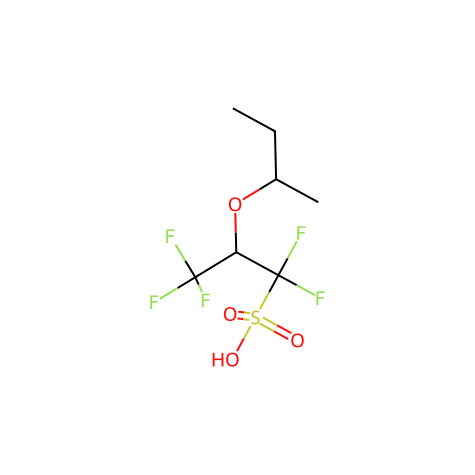 CCC(C)OC(C(F)(F)F)C(F)(F)S(=O)(=O)O